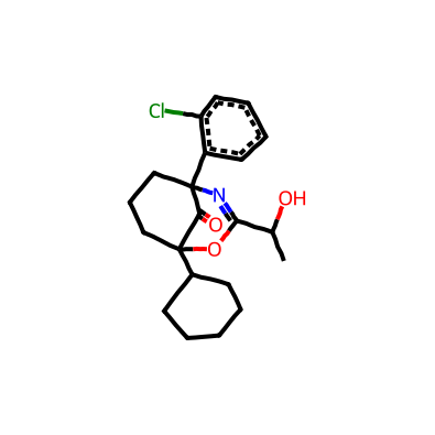 CC(O)C1=NC2(c3ccccc3Cl)CCCC(C3CCCCC3)(O1)C2=O